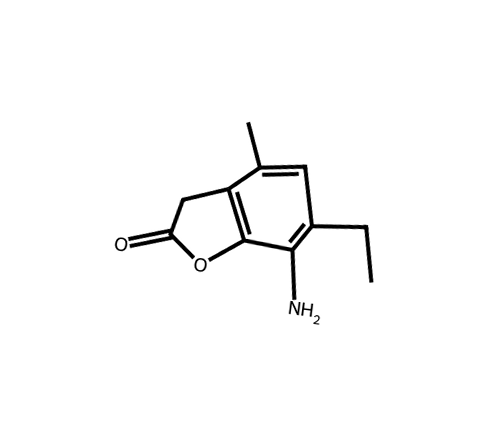 CCc1cc(C)c2c(c1N)OC(=O)C2